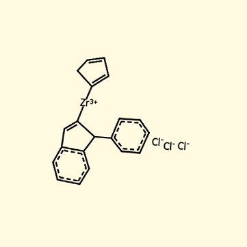 C1=CC[C]([Zr+3][C]2=Cc3ccccc3C2c2ccccc2)=C1.[Cl-].[Cl-].[Cl-]